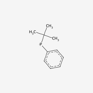 CC(C)(C)[P]c1ccccc1